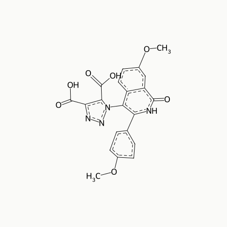 COc1ccc(-c2[nH]c(=O)c3cc(OC)ccc3c2-n2nnc(C(=O)O)c2C(=O)O)cc1